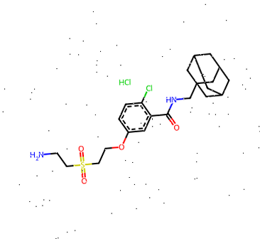 Cl.NCCS(=O)(=O)CCOc1ccc(Cl)c(C(=O)NCC23CC4CC(CC(C4)C2)C3)c1